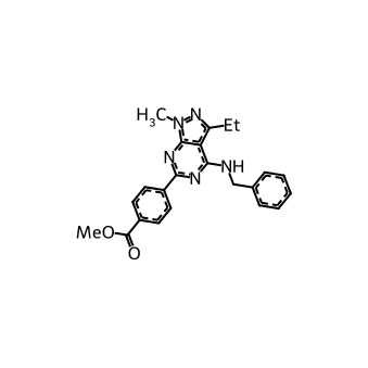 CCc1nn(C)c2nc(-c3ccc(C(=O)OC)cc3)nc(NCc3ccccc3)c12